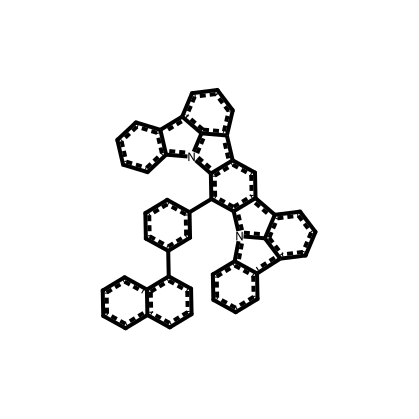 c1cc(-c2cccc3ccccc23)cc(-c2c3c(cc4c5cccc6c7ccccc7n(c24)c65)c2cccc4c5ccccc5n3c42)c1